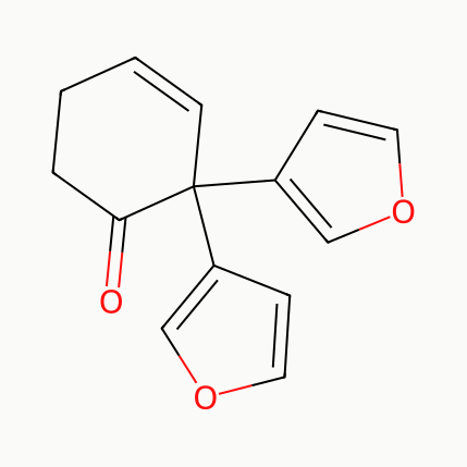 O=C1CCC=CC1(c1ccoc1)c1ccoc1